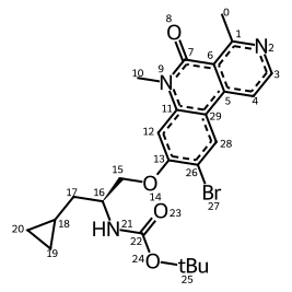 Cc1nccc2c1c(=O)n(C)c1cc(OC[C@H](CC3CC3)NC(=O)OC(C)(C)C)c(Br)cc21